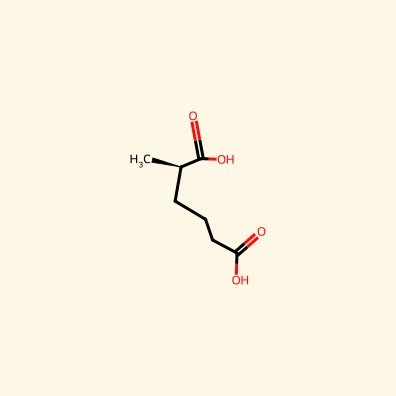 C[C@H](CCCC(=O)O)C(=O)O